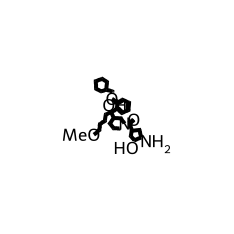 COCCCCC(O)(c1ccccc1OCC1CCCCC1)C1CCCN(C(=O)C2CC(N)C(O)C2)C1